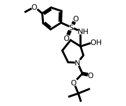 COc1ccc(S(=O)(=O)NC2(O)CCCN(C(=O)OC(C)(C)C)C2)cc1